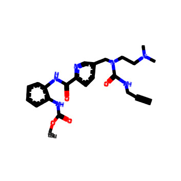 C#CCNC(=O)N(CCN(C)C)Cc1ccc(C(=O)Nc2ccccc2NC(=O)OC(C)(C)C)nc1